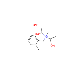 Cc1ccccc1C[N+](C)(C(C)O)C(C)O.[OH-]